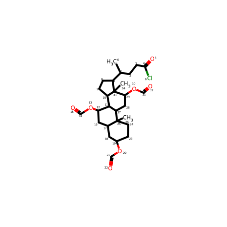 CC(CCC(=O)Cl)C1CCC2C3C(OC=O)CC4CC(OC=O)CCC4(C)C3CC(OC=O)C12C